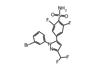 NS(=O)(=O)c1c(F)cc(-c2cc(C(F)F)nn2-c2cccc(Br)c2)cc1F